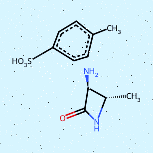 C[C@@H]1NC(=O)[C@H]1N.Cc1ccc(S(=O)(=O)O)cc1